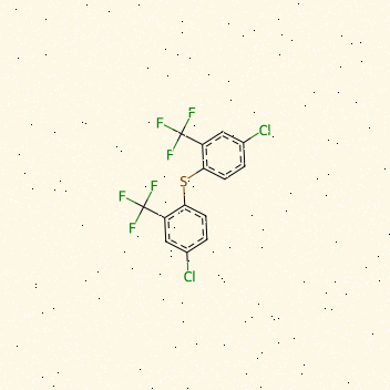 FC(F)(F)c1cc(Cl)ccc1Sc1ccc(Cl)cc1C(F)(F)F